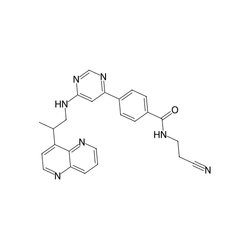 CC(CNc1cc(-c2ccc(C(=O)NCCC#N)cc2)ncn1)c1ccnc2cccnc12